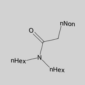 CCCCCCCCCCC(=O)N(CCCCCC)CCCCCC